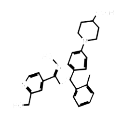 Cc1ccccc1[C@H](CC(=NO)c1ccnc(CO)c1)c1ccc(N2CCC(C(=O)O)CC2)cc1